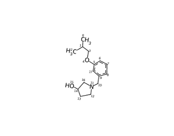 CC(C)COc1cccc(CN2CCC(O)C2)c1